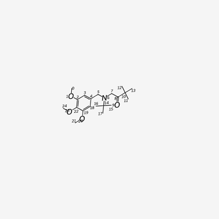 COc1cc(CN(CC(=O)C(C)(C)C)C(C)(C)C)cc(OC)c1OC